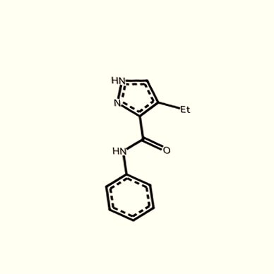 CCc1c[nH]nc1C(=O)Nc1ccccc1